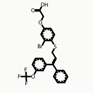 O=C(O)COc1ccc(SC/C=C(/c2ccccc2)c2cccc(OC(F)(F)F)c2)c(Br)c1